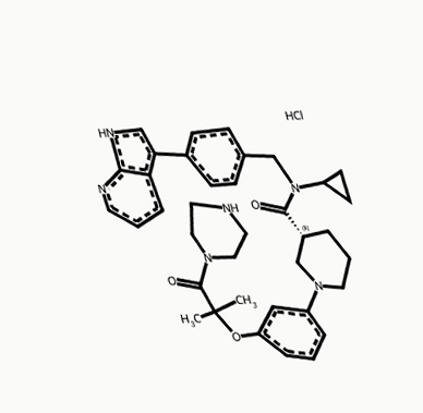 CC(C)(Oc1cccc(N2CCC[C@@H](C(=O)N(Cc3ccc(-c4c[nH]c5ncccc45)cc3)C3CC3)C2)c1)C(=O)N1CCNCC1.Cl